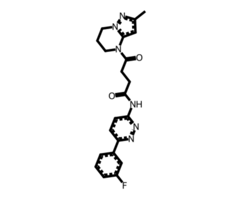 Cc1cc2n(n1)CCCN2C(=O)CCC(=O)Nc1ccc(-c2cccc(F)c2)nn1